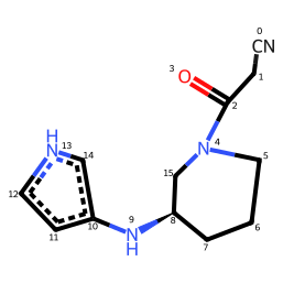 N#CCC(=O)N1CCC[C@@H](Nc2cc[nH]c2)C1